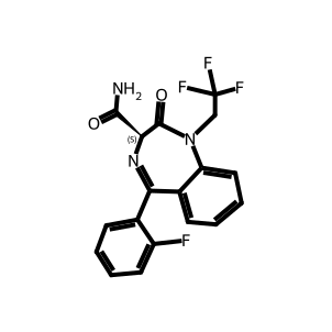 NC(=O)[C@@H]1N=C(c2ccccc2F)c2ccccc2N(CC(F)(F)F)C1=O